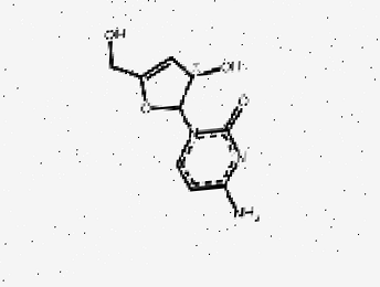 Nc1ccn(C2OC(CO)=C[C@H]2O)c(=O)n1